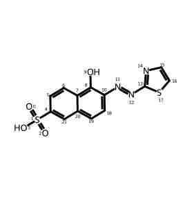 O=S(=O)(O)c1ccc2c(O)c(N=Nc3nccs3)ccc2c1